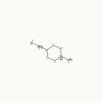 CCC[SiH]1CC[CH]([Mg][Br])CC1